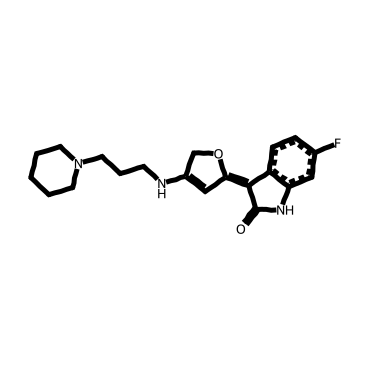 O=C1Nc2cc(F)ccc2/C1=C1/C=C(NCCCN2CCCCC2)CO1